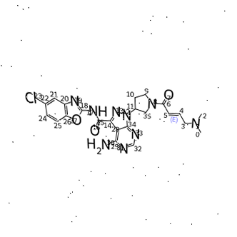 CN(C)C/C=C/C(=O)N1CCC(n2nc(C(=O)Nc3nc4cc(Cl)ccc4o3)c3c(N)ncnc32)C1